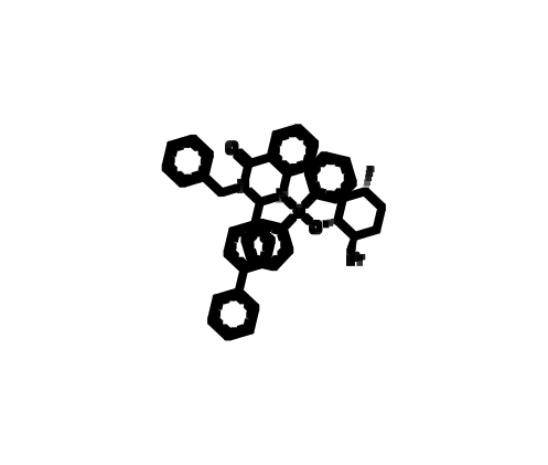 CC(C)[C@@H]1CC[C@@H](C)C[C@H]1O[Si](c1ccccc1)(c1ccccc1)N1c2ccccc2C(=O)N(Cc2ccccc2)C1c1ccc(-c2ccccc2)cc1